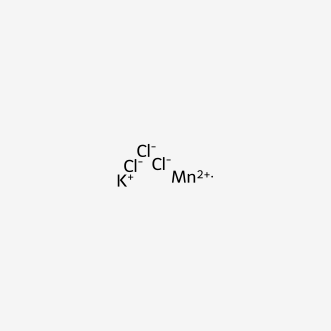 [Cl-].[Cl-].[Cl-].[K+].[Mn+2]